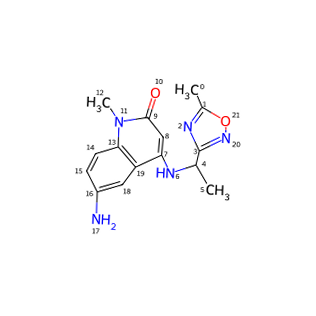 Cc1nc(C(C)Nc2cc(=O)n(C)c3ccc(N)cc23)no1